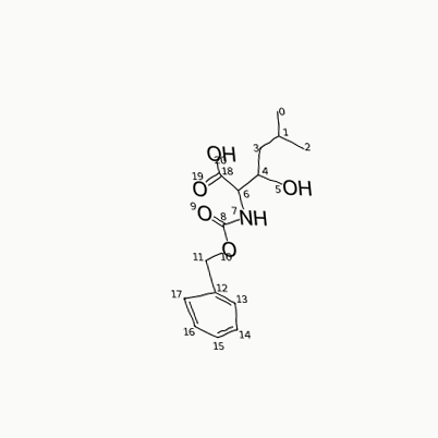 CC(C)CC(O)C(NC(=O)OCc1ccccc1)C(=O)O